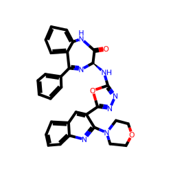 O=C1Nc2ccccc2C(c2ccccc2)=N[C@@H]1Nc1nnc(-c2cc3ccccc3nc2N2CCOCC2)o1